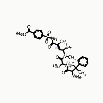 CNC(C(=O)NC(C(=O)N(C)C(/C=C(\C)C(=O)NS(=O)(=O)c1ccc(C(=O)OC)cc1)C(C)C)C(C)(C)C)C(C)(C)c1ccccc1